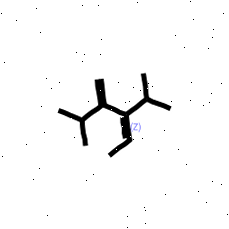 C=C(/C(=C\C)C(C)C)C(C)C